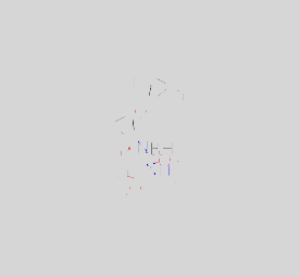 BC(CCC(=O)OC(C)(C)C)(C(N)=O)N1Cc2c(OCc3cc(OC)ccc3F)cccc2C1=O